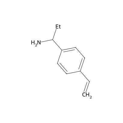 C=Cc1ccc(C(N)CC)cc1